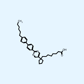 CCCCCCc1ccc(-c2ccc(-c3ncc(C4(CCCCCCCC(=O)O)CCCC4)cn3)cc2)cc1